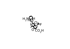 Cc1nc(N2C[C@@H]3CC=C[C@@H](N)[C@H]3C2)c(Cl)c2c1c(=O)c(C(=O)O)cn2[C@@H]1C[C@@H]1F